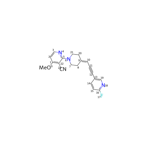 COc1ccnc(N2CCC(=CC#Cc3ccc(F)nc3)CC2)c1C#N